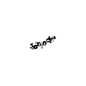 CC1CN(c2ccc(Nc3ncc(F)c(-c4ccc5nn(C)c(C(C)C)c5c4)n3)nc2)CC2CC(C(=O)OC(C)(C)C)(C1)C2C